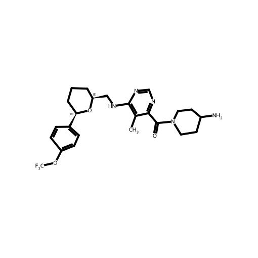 Cc1c(NC[C@@H]2CCC[C@H](c3ccc(OC(F)(F)F)cc3)O2)ncnc1C(=O)N1CCC(N)CC1